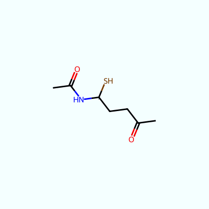 CC(=O)CC[C](S)NC(C)=O